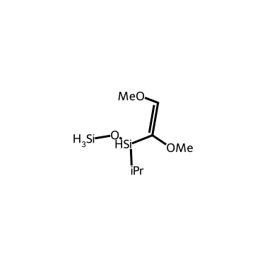 COC=C(OC)[SiH](O[SiH3])C(C)C